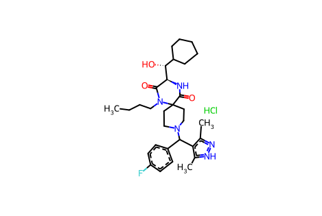 CCCCN1C(=O)[C@@H]([C@H](O)C2CCCCC2)NC(=O)C12CCN(C(c1ccc(F)cc1)c1c(C)n[nH]c1C)CC2.Cl